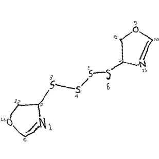 C1=NC(SSSSC2COC=N2)CO1